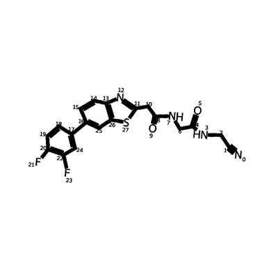 N#CCNC(=O)CNC(=O)Cc1nc2ccc(-c3ccc(F)c(F)c3)cc2s1